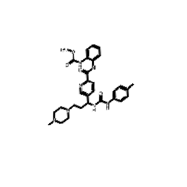 Cc1ccc(NC(=O)NC(CCN2CCN(C)CC2)c2ccc(C(=O)Nc3ccccc3NC(=O)OC(C)(C)C)nc2)cc1